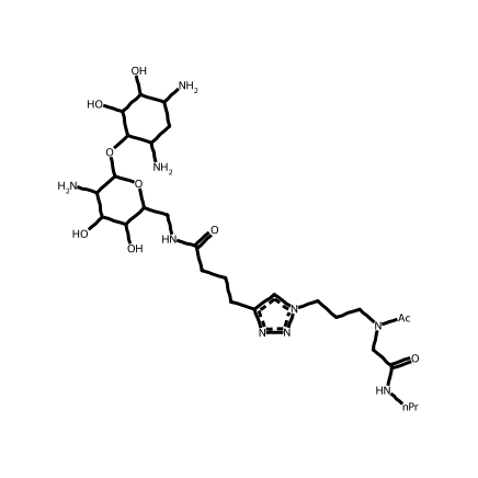 CCCNC(=O)CN(CCCn1cc(CCCC(=O)NCC2OC(OC3C(N)CC(N)C(O)C3O)C(N)C(O)C2O)nn1)C(C)=O